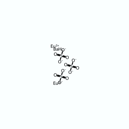 O=S(=O)([O-])[O-].O=S(=O)([O-])[O-].O=S(=O)([O-])[O-].[BaH2].[Eu+3].[Eu+3]